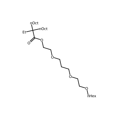 CCCCCCCCC(CC)(CCCCCCCC)C(=O)OCCOCCCOCCOCCCCCC